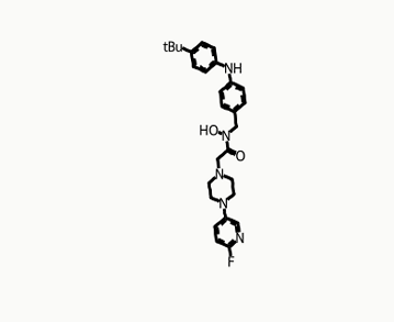 CC(C)(C)c1ccc(Nc2ccc(CN(O)C(=O)CN3CCN(c4ccc(F)nc4)CC3)cc2)cc1